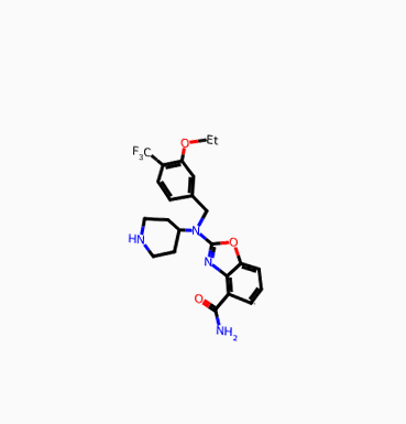 CCOc1cc(CN(c2nc3c(C(N)=O)[c]ccc3o2)C2CCNCC2)ccc1C(F)(F)F